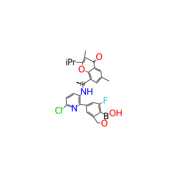 Cc1cc([C@H](C)Nc2ccc(Cl)nc2-c2cc(F)c3c(c2)COB3O)c2oc(C(C)C)c(C)c(=O)c2c1